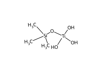 C[Si](C)(C)[O][Ti]([OH])([OH])[OH]